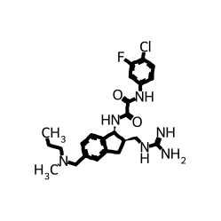 CCCN(C)Cc1ccc2c(c1)C[C@H](CNC(=N)N)[C@H]2NC(=O)C(=O)Nc1ccc(Cl)c(F)c1